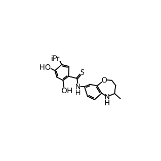 CC1CCOc2cc(NC(=S)c3cc(C(C)C)c(O)cc3O)ccc2N1